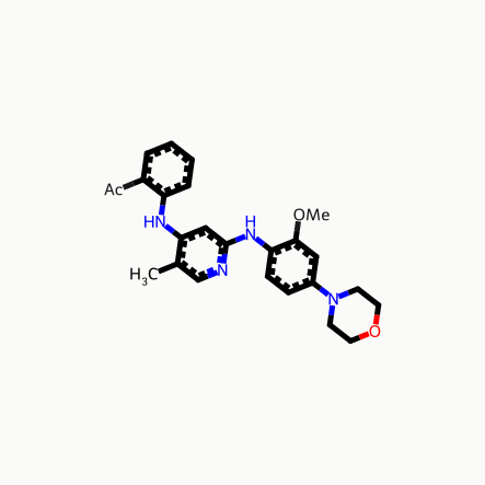 COc1cc(N2CCOCC2)ccc1Nc1cc(Nc2ccccc2C(C)=O)c(C)cn1